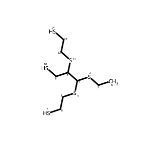 CCSC(SCCS)C(CS)SCCS